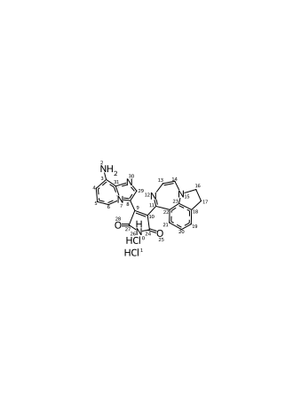 Cl.Cl.Nc1cccn2c(C3=C(C4=NC=CN5CCc6cccc4c65)C(=O)NC3=O)cnc12